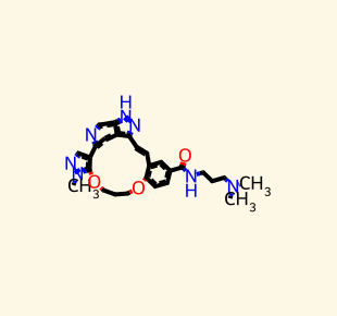 CN(C)CCCNC(=O)c1ccc2c(c1)/C=C/c1n[nH]c3cnc(cc13)-c1cnn(C)c1OCCCO2